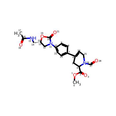 COC(=O)C1CC(c2ccc(N3C[C@H](CNC(C)=O)OC3=O)cc2)=CCN1C=O